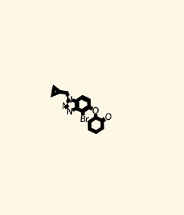 O=C1CCCCC1Oc1ccc2c(nnn2CC2CC2)c1Br